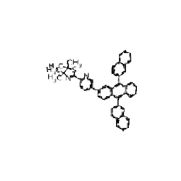 CC1(C)N=C(c2ccc(-c3ccc4c(-c5ccc6ccccc6c5)c5ccccc5c(-c5ccc6ccccc6c5)c4c3)cn2)SC1(C)C